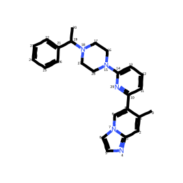 Cc1cc2nccn2cc1-c1cccc(N2CCN(C(C)c3ccccc3)CC2)n1